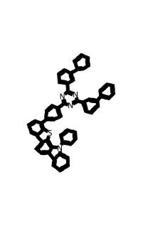 c1ccc(-c2cccc(-c3nc(-c4ccc(-c5cccc6c5sc5c6ccc6c7ccccc7n(-c7ccccc7)c65)cc4)nc(-c4cccc(-c5ccccc5)c4)n3)c2)cc1